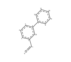 O=Cc1cccc(-c2[c]cccc2)c1